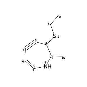 CCSC1C#CC=CNC1C